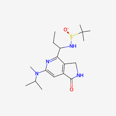 CCC(N[S@@+]([O-])C(C)(C)C)c1nc(N(C)C(C)C)cc2c1CNC2=O